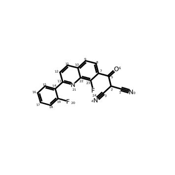 N#CC(C#N)C(=O)c1ccc2ccc(-c3ccccc3F)nc2c1F